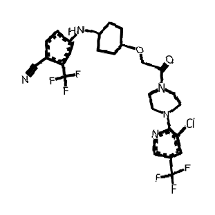 N#Cc1ccc(NC2CCC(OCC(=O)N3CCN(c4ncc(C(F)(F)F)cc4Cl)CC3)CC2)cc1C(F)(F)F